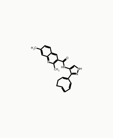 Cc1ccc2cc(C(=O)Nc3c[nH]nc3C3=C/CC/C=C/C=C\3)c(C)nc2c1